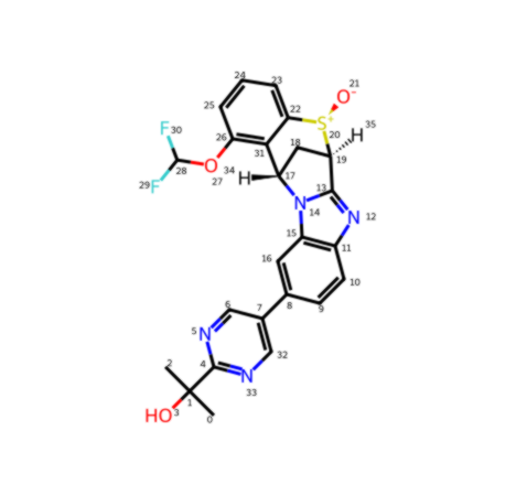 CC(C)(O)c1ncc(-c2ccc3nc4n(c3c2)[C@H]2C[C@H]4[S@+]([O-])c3cccc(OC(F)F)c32)cn1